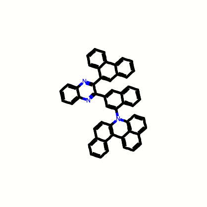 c1ccc2c(N3c4ccc5ccccc5c4-c4cccc5cccc3c45)cc(-c3nc4ccccc4nc3-c3cc4ccccc4c4ccccc34)cc2c1